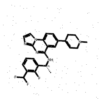 C[C@@H](Nc1nc2nccn2c2ccc(C3=CCN(C)CC3)cc12)c1cccc(C(F)F)c1F